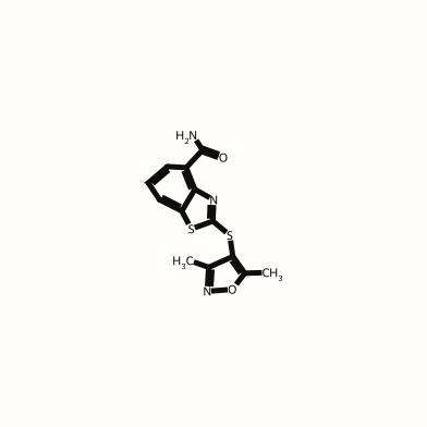 Cc1noc(C)c1Sc1nc2c(C(N)=O)c[c]cc2s1